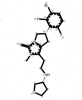 Cn1c(CCN[C@@H]2CCOC2)c2n(c1=S)C[C@H](c1c(F)ccc(Br)c1F)C2